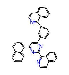 c1cc(-c2cc(-c3cccc4ccccc34)nc(-c3nccc4ccccc34)n2)cc(-c2nccc3ccccc23)c1